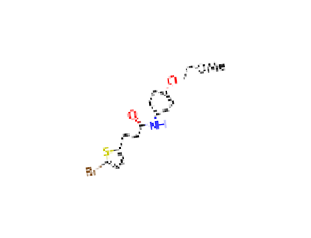 COCCOc1ccc(NC(=O)/C=C/c2ccc(Br)s2)cc1